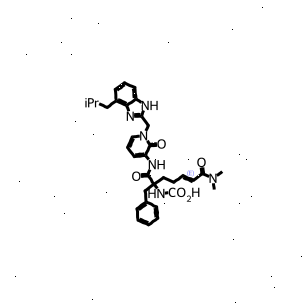 CC(C)Cc1cccc2[nH]c(Cn3cccc(NC(=O)C(CC/C=C/C(=O)N(C)C)(Cc4ccccc4)NC(=O)O)c3=O)nc12